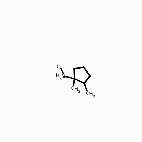 CC1CCCC1(C)[SiH2]Cl